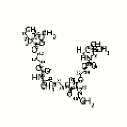 C=CC1CC1(C(=O)OC)C(=O)OCCCOC(=O)NC(C)CCCCOC(=O)C1(C(=O)OCCOC(=O)NCC(C)(C)C)CC1C=C